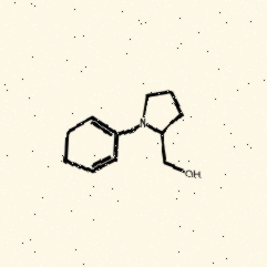 OCC1CCCN1C1=CC[CH]C=C1